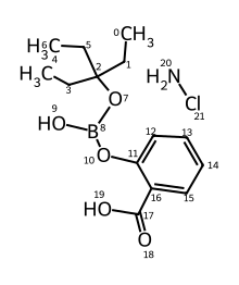 CCC(CC)(CC)OB(O)Oc1ccccc1C(=O)O.NCl